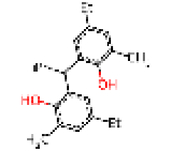 CCc1cc(C)c(O)c(C(c2cc(CC)cc(C)c2O)C(C)C)c1